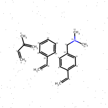 C=CC(=C)C.C=Cc1ccc(CN(C)C)cc1.C=Cc1ccccc1